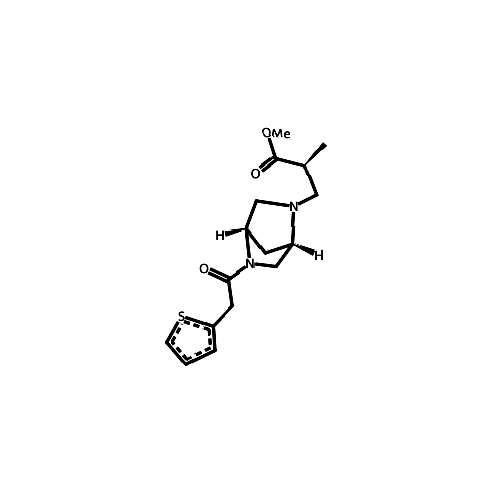 COC(=O)[C@@H](C)CN1C[C@@H]2C[C@H]1CN2C(=O)Cc1cccs1